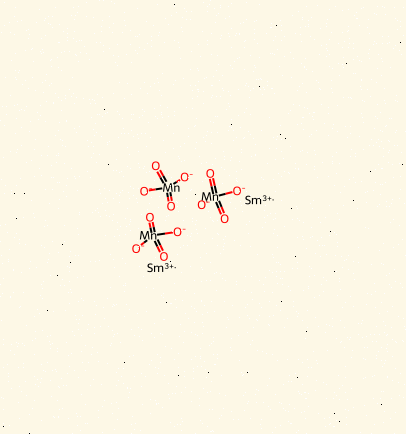 [O]=[Mn](=[O])([O-])[O-].[O]=[Mn](=[O])([O-])[O-].[O]=[Mn](=[O])([O-])[O-].[Sm+3].[Sm+3]